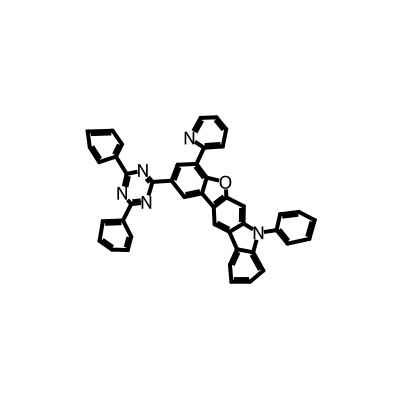 c1ccc(-c2nc(-c3ccccc3)nc(-c3cc(-c4ccccn4)c4oc5cc6c(cc5c4c3)c3ccccc3n6-c3ccccc3)n2)cc1